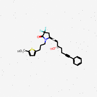 O=C(O)c1ccc(CCCN2C(=O)C(F)(F)CC2=C=C[C@@H](O)CCC#Cc2ccccc2)s1